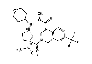 COC(=O)N1CN(C(=O)[C@@]2(C(C)C)CC[C@@H](NC3CCOCC3)C2)Cc2cc(C(F)(F)F)ccc21